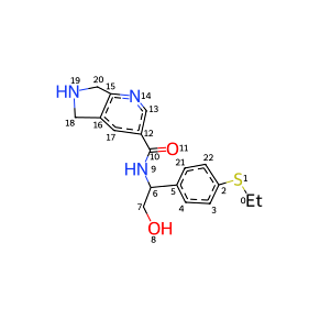 CCSc1ccc(C(CO)NC(=O)c2cnc3c(c2)CNC3)cc1